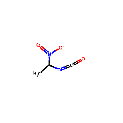 CC(N=C=O)[N+](=O)[O-]